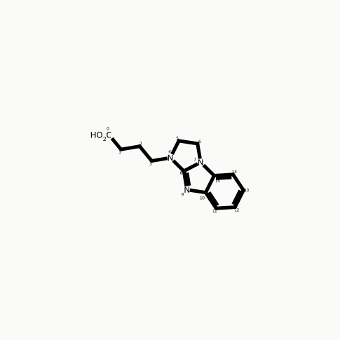 O=C(O)CCCN1CCn2c1nc1ccccc12